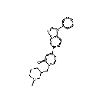 CN1CCCC(Cn2ccc(-c3ccc4c(c3)ncn4-c3ccccc3)cc2=O)C1